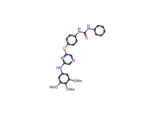 COc1cc(Nc2cncc(Oc3ccc(NC(=O)Nc4ccccc4)cc3)n2)cc(OC)c1OC